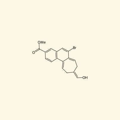 COC(=O)c1ccc2c3c(c(Br)cc2c1)=CC/C(=C\O)CC=3